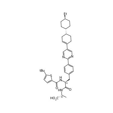 CC[C@H]1CC[C@H](C2CC=C(c3cnc(-c4ccc(C[C@H](NC(=O)c5ccc(C(C)(C)C)s5)C(=O)N[C@H](C)C(=O)O)cc4)nc3)CC2)CC1